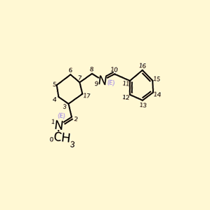 C/N=C/C1CCCC(C/N=C/c2ccccc2)C1